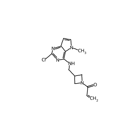 C=CC(=O)N1CC(CNc2nc(Cl)nc3ccn(C)c23)C1